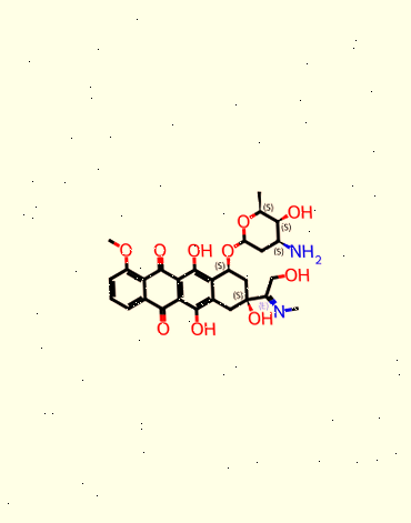 C/N=C(\CO)[C@]1(O)Cc2c(O)c3c(c(O)c2[C@@H](OC2C[C@H](N)[C@H](O)[C@H](C)O2)C1)C(=O)c1c(OC)cccc1C3=O